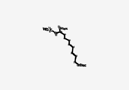 CCCCCCCCCCCCCCCCCCC(CCCCCC)OC(=O)O